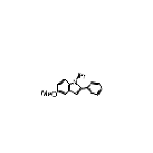 COc1ccc2c(c1)cc(-c1ccccc1)n2C(C)C